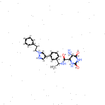 CC(NC(=O)c1[nH]c(=O)[nH]c(=O)c1N)c1cccc(-c2cnn(CCc3ccccc3)c2)c1